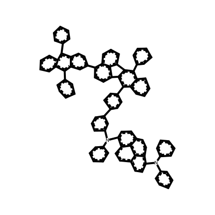 c1ccc(-c2c3c(c(-c4ccc(-c5cccc(N(c6ccccc6)c6ccc7ccc8c(N(c9ccccc9)c9ccccc9)ccc9ccc6c7c98)c5)cc4)c4ccccc24)-c2ccc(-c4ccc5c(-c6ccccc6)c6ccccc6c(-c6ccccc6)c5c4)c4cccc-3c24)cc1